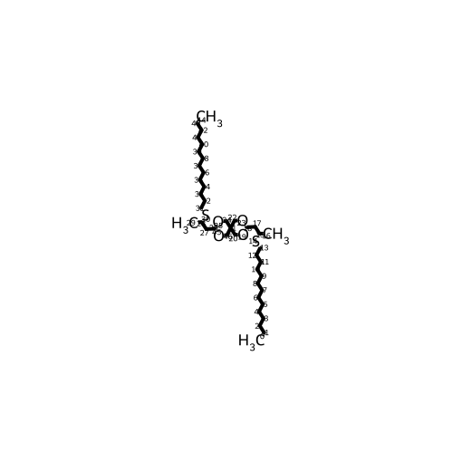 CCCCCCCCCCCCCCSC(C)CC1OCC2(CO1)COC(CC(C)SCCCCCCCCCCCCCC)OC2